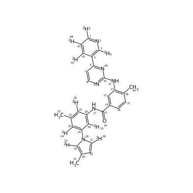 [2H]c1nc([2H])c(-c2ccnc(Nc3cc(C(=O)Nc4c([2H])c(C)c([2H])c(-n5c([2H])cc(C)c5[2H])c4[2H])ccc3C)n2)c([2H])c1[2H]